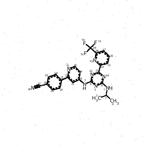 CC(C)Nc1nc(Nc2ccnc(-c3ccc(C#N)cc3)c2)nc(-c2cccc(C(F)(F)F)n2)n1